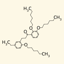 CCCCCCOc1ccc(CC)cc1CCC(=O)c1cccc(OCCCCCC)c1OCCCCCC